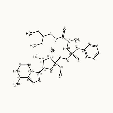 CCC(CC)COC(=O)[C@H](C)NP(=O)(OC[C@@]1(CCl)O[C@@H](c2ccc3n2N=CNC3N)[C@H](O)[C@@H]1O)Oc1ccccc1